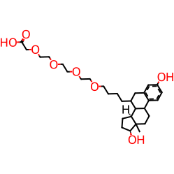 CC12CCC3c4ccc(O)cc4CC(CCCCOCCOCCOCCOCC(=O)O)C3[C@@H]1CC[C@@H]2O